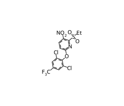 CCS(=O)(=O)c1nc(Oc2c(Cl)cc(C(F)(F)F)cc2Cl)ccc1[N+](=O)[O-]